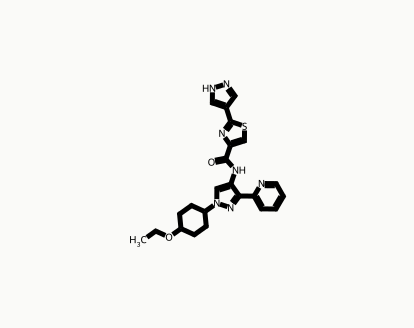 CCOC1CCC(n2cc(NC(=O)c3csc(-c4cn[nH]c4)n3)c(-c3ccccn3)n2)CC1